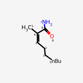 CCCCCCC=C(C)C(N)=O